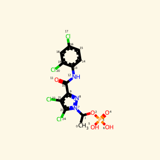 CC(OP(=O)(O)O)n1nc(C(=O)Nc2ccc(Cl)cc2Cl)c(Cl)c1Cl